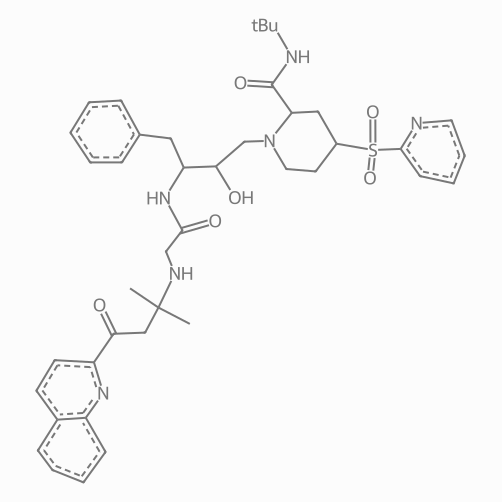 CC(C)(C)NC(=O)C1CC(S(=O)(=O)c2ccccn2)CCN1CC(O)C(Cc1ccccc1)NC(=O)CNC(C)(C)CC(=O)c1ccc2ccccc2n1